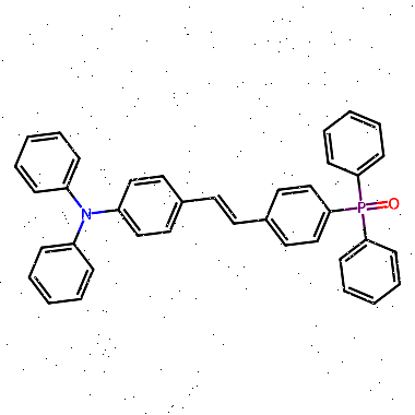 O=P(c1ccccc1)(c1ccccc1)c1ccc(C=Cc2ccc(N(c3ccccc3)c3ccccc3)cc2)cc1